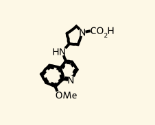 COc1cccc2c(NC3CCN(C(=O)O)C3)ccnc12